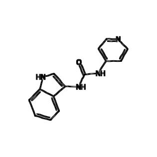 O=C(Nc1ccncc1)Nc1c[nH]c2ccccc12